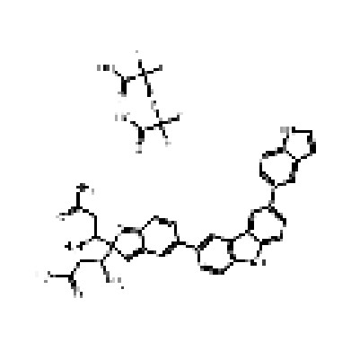 NC(=O)CC(N)C1(C(N)CC(N)=O)C=c2cc(-c3ccc4[nH]c5ccc(-c6ccc7[nH]ccc7c6)cc5c4c3)ccc2=N1.O=C(O)C(F)(F)F.O=C(O)C(F)(F)F